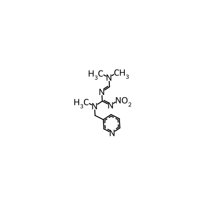 CN(C)C=NC(=N[N+](=O)[O-])N(C)Cc1cccnc1